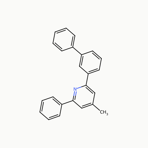 Cc1cc(-c2ccccc2)nc(-c2cccc(-c3ccccc3)c2)c1